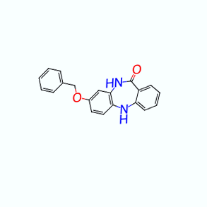 O=C1Nc2cc(OCc3ccccc3)ccc2Nc2ccccc21